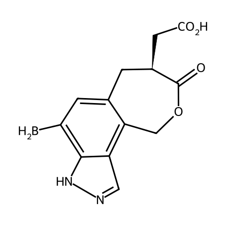 Bc1cc2c(c3cn[nH]c13)COC(=O)[C@H](CC(=O)O)C2